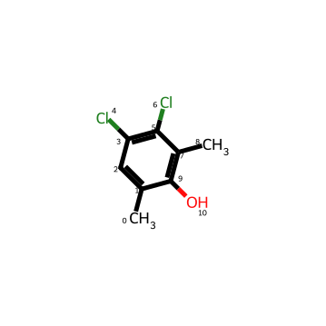 Cc1cc(Cl)c(Cl)c(C)c1O